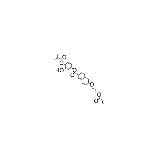 C=CC(=O)OCCCOc1ccc2cc(C(=O)Oc3ccc(OC(=O)C(=C)C)c(O)c3)ccc2c1